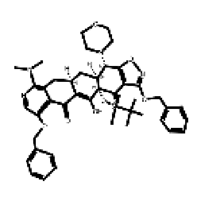 CN(C)c1ncc(OCc2ccccc2)c2c1C[C@H]1C[C@H]3[C@H](N4CCOCC4)c4onc(OCc5ccccc5)c4C(=O)[C@@]3(O[Si](C)(C)C(C)(C)C)C(O)=C1C2=O